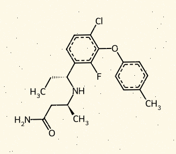 CC[C@@H](N[C@@H](C)CC(N)=O)c1ccc(Cl)c(Oc2ccc(C)cc2)c1F